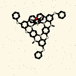 CN1c2cc3c(cc2B2c4cc5c(cc4Oc4cc(Oc6ccccc6)cc1c42)N(C)c1cc(Oc2ccccc2)cc2c1B5c1sc4ccccc4c1O2)B1c2sc4ccccc4c2Oc2cc(Oc4ccccc4)cc(c21)O3